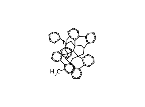 Cc1ccccc1-c1ccccc1C12CCCC34CC(CC5(CC(C1)c1ccccc1-c1ccccc15)C23)c1ccccc1-c1cccc(N(c2ccccc2)c2ccccc2)c14